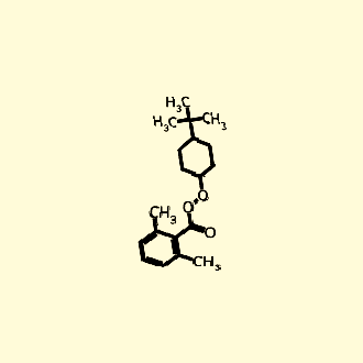 Cc1cccc(C)c1C(=O)OO[C]1CCC(C(C)(C)C)CC1